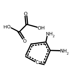 Nc1ccccc1N.O=C(O)C(=O)O